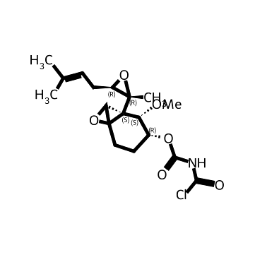 CO[C@@H]1[C@H](OC(=O)NC(=O)Cl)CCC23OC2[C@]13[C@@]1(C)O[C@@H]1CC=C(C)C